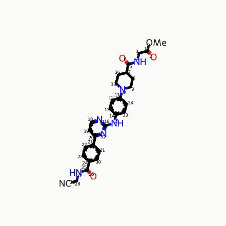 COC(=O)CNC(=O)C1CCN(c2ccc(Nc3nccc(-c4ccc(C(=O)NCC#N)cc4)n3)cc2)CC1